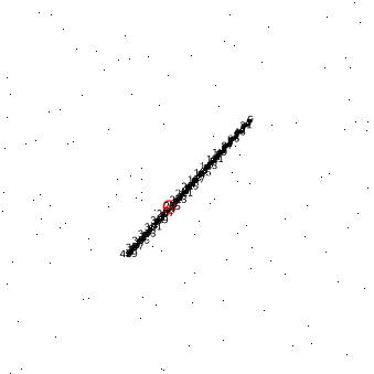 CCCCCCCCCCCCCCCCCCCCCCCCCCOCCCCCCCCCCCCCC